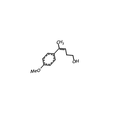 COc1ccc(/C(C)=C\CCO)cc1